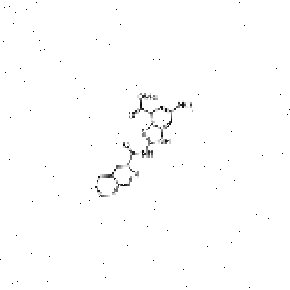 COC(=O)c1cc([N+](=O)[O-])cc2[nH]c(NC(=O)c3cc4ccccc4cn3)nc12